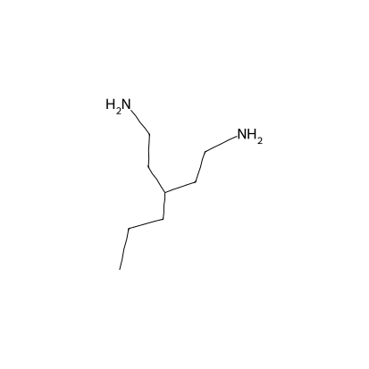 CCCC(CCN)CCN